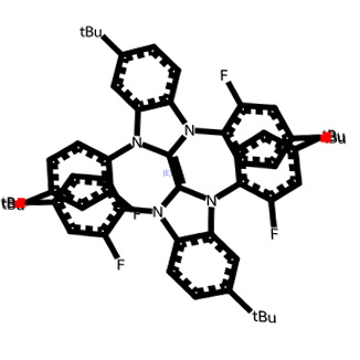 CC(C)(C)c1ccc(N2/C(=C3/N(c4ccc(C(C)(C)C)cc4F)c4ccc(C(C)(C)C)cc4N3c3ccc(C(C)(C)C)cc3F)N(c3ccc(C(C)(C)C)cc3F)c3cc(C(C)(C)C)ccc32)c(F)c1